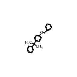 CC(C)(c1ccccc1)c1ccc(O[CH]c2ccccc2)cc1